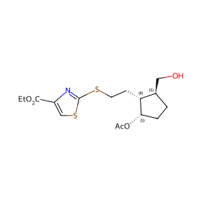 CCOC(=O)c1csc(SCC[C@@H]2[C@@H](CO)CC[C@@H]2OC(C)=O)n1